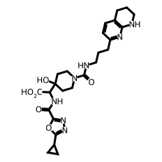 O=C(NC(C(=O)O)C1(O)CCN(C(=O)NCCCc2ccc3c(n2)NCCC3)CC1)c1nnc(C2CC2)o1